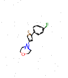 Fc1ccc(-c2cc(N3CCOCC3)cs2)cc1